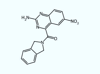 Nc1nc(C(=O)N2Cc3ccccc3C2)c2cc([N+](=O)[O-])ccc2n1